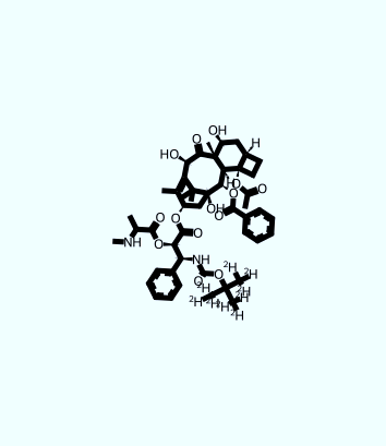 [2H]C([2H])([2H])C(OC(=O)N[C@@H](c1ccccc1)[C@@H](OC(=O)C(C)NC)C(=O)O[C@H]1C[C@@]2(O)[C@@H](OC(=O)c3ccccc3)[C@@H]3[C@]4(OC(C)=O)CC[C@@H]4C[C@H](O)[C@@]3(C)C(=O)[C@H](O)C(=C1C)C2(C)C)(C([2H])([2H])[2H])C([2H])([2H])[2H]